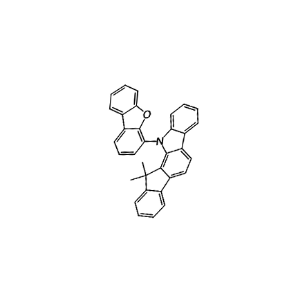 CC1(C)c2ccccc2-c2ccc3c4ccccc4n(-c4cccc5c4oc4ccccc45)c3c21